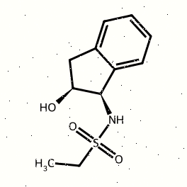 CCS(=O)(=O)N[C@@H]1c2ccccc2C[C@@H]1O